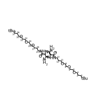 CC(C)(C)CCCOCCOCCOCCCNC(=O)c1nc(N)c(C(=O)NCCCOCCOCCOCCCC(C)(C)C)nc1N